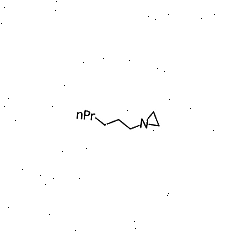 CCCCCCN1CC1